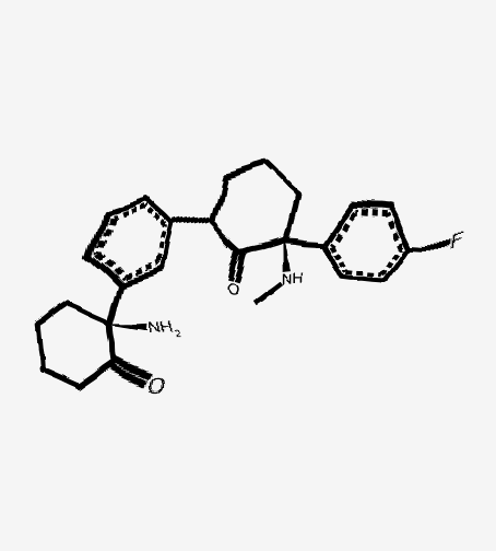 CN[C@]1(c2ccc(F)cc2)CCCC(c2cccc([C@@]3(N)CCCCC3=O)c2)C1=O